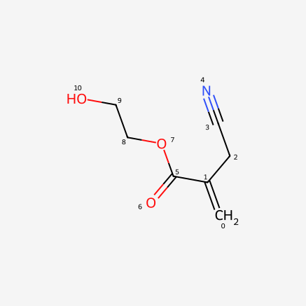 C=C(CC#N)C(=O)OCCO